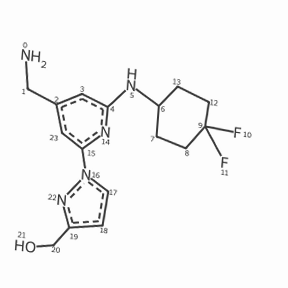 NCc1cc(NC2CCC(F)(F)CC2)nc(-n2ccc(CO)n2)c1